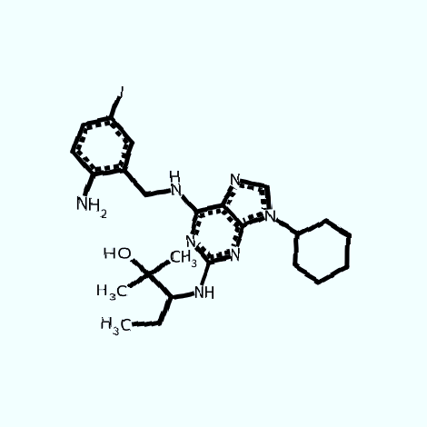 CCC(Nc1nc(NCc2cc(I)ccc2N)c2ncn(C3CCCCC3)c2n1)C(C)(C)O